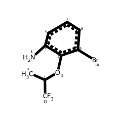 CC(Oc1c(N)cccc1Br)C(F)(F)F